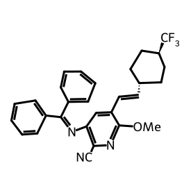 COc1nc(C#N)c(N=C(c2ccccc2)c2ccccc2)cc1/C=C/[C@H]1CC[C@H](C(F)(F)F)CC1